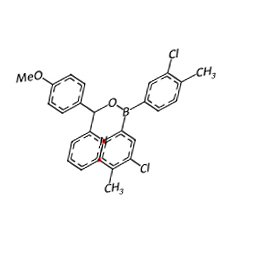 COc1ccc(C(OB(c2ccc(C)c(Cl)c2)c2ccc(C)c(Cl)c2)c2ccccn2)cc1